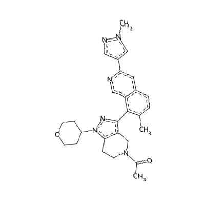 CC(=O)N1CCc2c(c(-c3c(C)ccc4cc(-c5cnn(C)c5)ncc34)nn2C2CCOCC2)C1